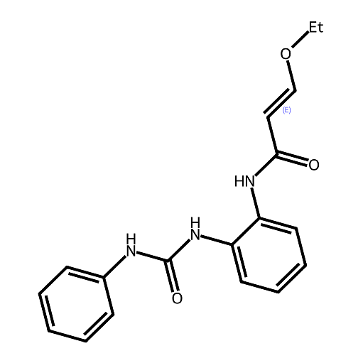 CCO/C=C/C(=O)Nc1ccccc1NC(=O)Nc1ccccc1